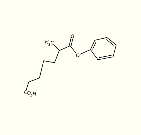 CC(CCCCC(=O)O)C(=O)Oc1ccccc1